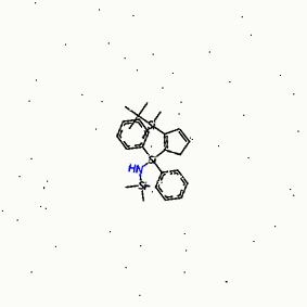 CC(C)(C)[Si](C)(C)C1=C([Si](N[Si](C)(C)C)(c2ccccc2)c2ccccc2)CC=C1